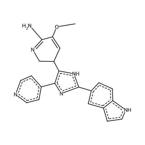 COC1=CC(c2[nH]c(-c3ccc4[nH]ccc4c3)nc2-c2ccncc2)CN=C1N